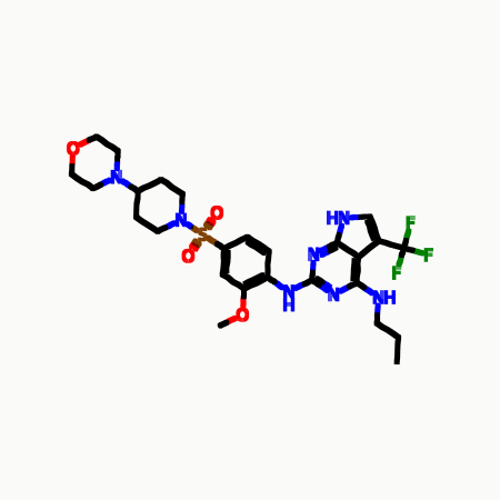 CCCNc1nc(Nc2ccc(S(=O)(=O)N3CCC(N4CCOCC4)CC3)cc2OC)nc2[nH]cc(C(F)(F)F)c12